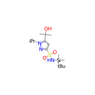 CC(C)n1nc(S(=O)(=O)N[Si](C)(C)C(C)(C)C)cc1C(C)(C)O